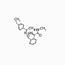 CCc1ccc(/C(C)=N/OCc2ccccc2C(=N)C(=O)NC)cc1